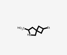 CCC1CC2(CNC(C(=O)O)C2)C1